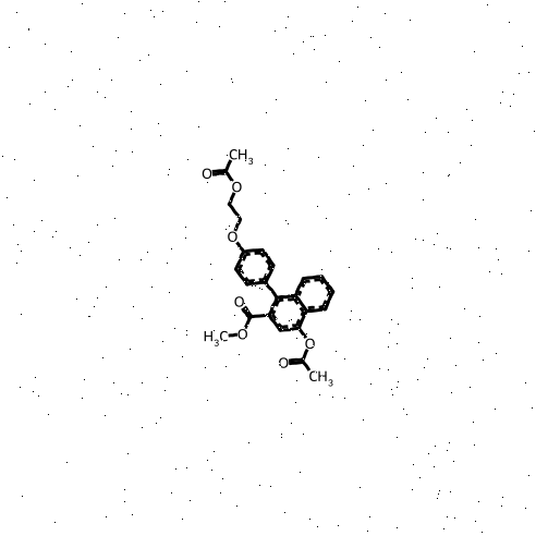 COC(=O)c1cc(OC(C)=O)c2ccccc2c1-c1ccc(OCCOC(C)=O)cc1